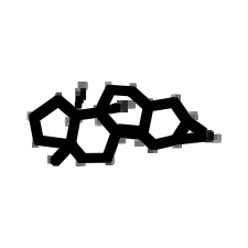 CC12CCC[C@H]1[C@@H]1CCC3CC4OC4CC3=C1CC2